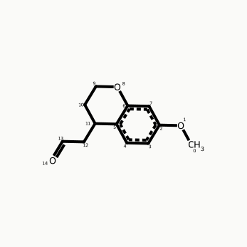 COc1ccc2c(c1)OCCC2CC=O